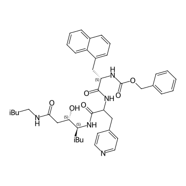 CCC(C)CNC(=O)C[C@H](O)[C@@H](NC(=O)C(Cc1ccncc1)NC(=O)[C@H](Cc1cccc2ccccc12)NC(=O)OCc1ccccc1)C(C)CC